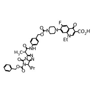 CCn1cc(C(=O)O)c(=O)c2cc(F)c(N3CCN(C(=O)OCc4ccc(NC(=O)C(C)c5nnc6n5C(=O)N(C(=O)OCc5ccccc5)C6C(C)C)cc4)CC3)cc21